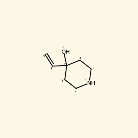 C=CC1(O)CCNCC1